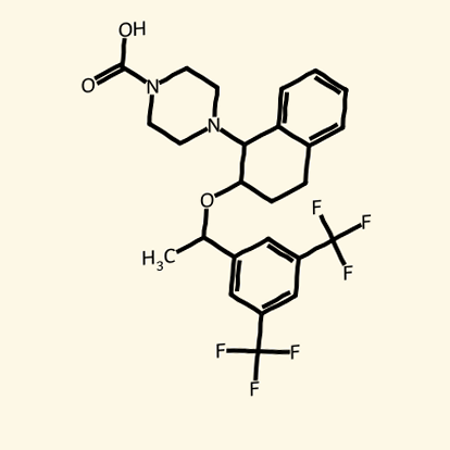 CC(OC1CCc2ccccc2C1N1CCN(C(=O)O)CC1)c1cc(C(F)(F)F)cc(C(F)(F)F)c1